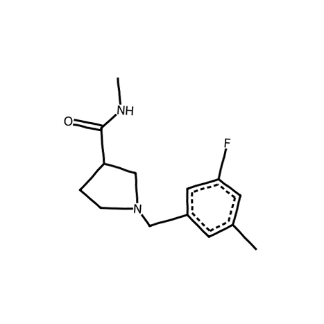 CNC(=O)C1CCN(Cc2cc(C)cc(F)c2)C1